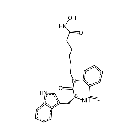 O=C(CCCCCN1C(=O)[C@H](Cc2c[nH]c3ccccc23)NC(=O)c2ccccc21)NO